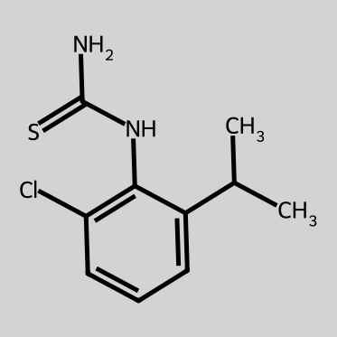 CC(C)c1cccc(Cl)c1NC(N)=S